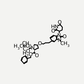 Cn1c(=O)n(C2CCC(=O)NC2=O)c2ccc(CCCO[C@@H]3C[C@@H](C(=O)OCc4ccccc4)N(C(=O)OC(C)(C)C)C3)cc21